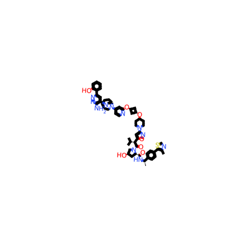 Cc1ncsc1-c1ccc([C@H](C)NC(=O)[C@@H]2C[C@@H](O)CN2C(=O)[C@@H](c2cc(N3CCC(O[C@H]4C[C@H](Oc5cc(N6CC7CCCC6CN7c6cc(-c7ccccc7O)nnc6N)ccn5)C4)CC3)no2)C(C)C)cc1